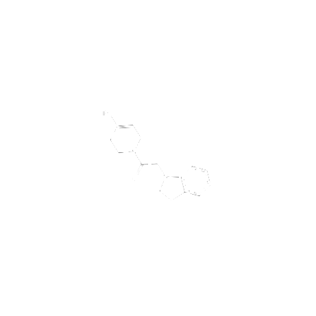 CC(C)C1=CCN(C(=O)CN2CCc3ccccc32)CC1